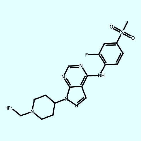 C[C](C)CN1CCC(n2ncc3c(Nc4ccc(S(C)(=O)=O)cc4F)ncnc32)CC1